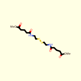 COC(=O)CCCC(=O)NCCSSCCNC(=O)CCCC(=O)OC